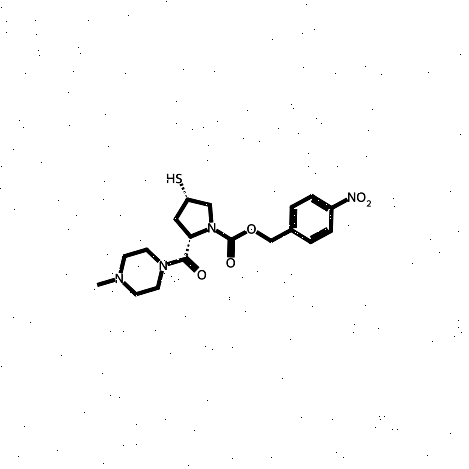 CN1CCN(C(=O)[C@@H]2C[C@H](S)CN2C(=O)OCc2ccc([N+](=O)[O-])cc2)CC1